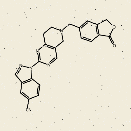 N#Cc1ccc2c(cnn2-c2ncc3c(n2)CCN(Cc2ccc4c(c2)COC4=O)C3)c1